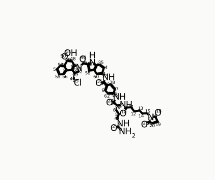 NC(=O)NCCC[C@H](NC(=O)CCCCCN1C(=O)C=CC1=O)C(=O)Nc1ccc(C(=O)Nc2ccc3[nH]c(C(=O)N4C[C@@H](CCl)c5c4cc(OO)c4ccccc54)cc3c2)cc1